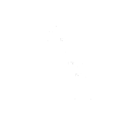 O=C(NCCCN1CCOCC1)NCc1ccccc1